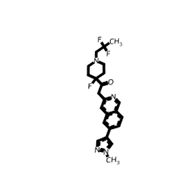 Cn1cc(-c2ccc3cnc(CC(=O)C4(F)CCN(CC(C)(F)F)CC4)cc3c2)cn1